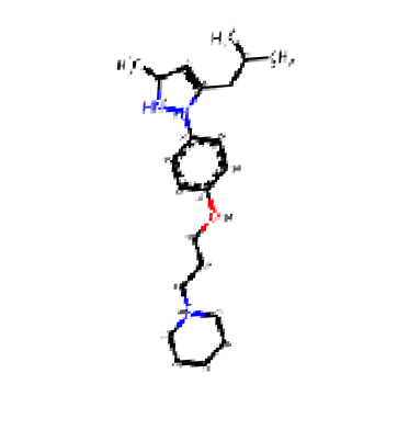 CC(C)CC1=CC(C)NN1c1ccc(OCCCN2CCCCC2)cc1